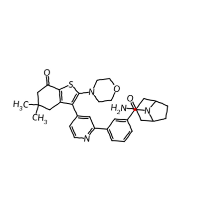 CC1(C)CC(=O)c2sc(N3CCOCC3)c(-c3ccnc(-c4cccc(C(=O)N5C6CCC5CC(N)C6)c4)c3)c2C1